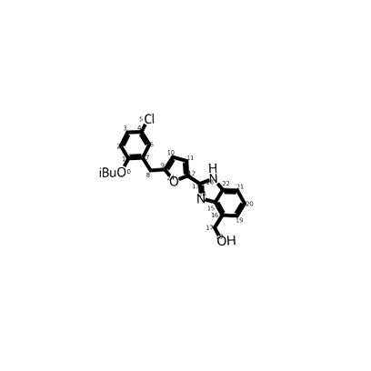 CC(C)COc1ccc(Cl)cc1Cc1ccc(-c2nc3c(CO)cccc3[nH]2)o1